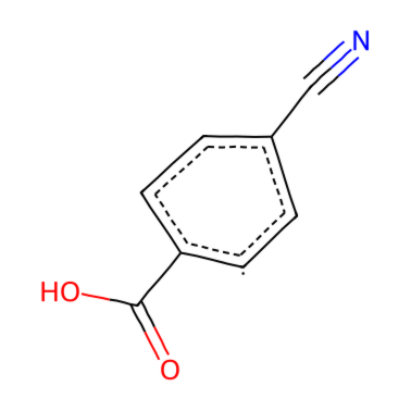 N#Cc1c[c]c(C(=O)O)cc1